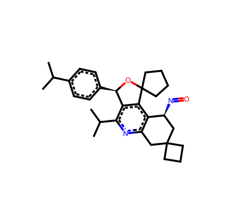 CC(C)c1ccc([C@H]2OC3(CCCC3)c3c2c(C(C)C)nc2c3[C@@H](N=O)CC3(CCC3)C2)cc1